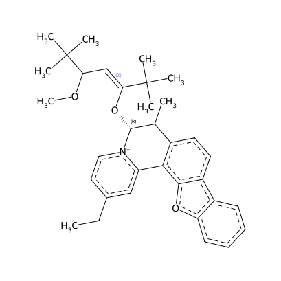 CCc1cc[n+]2c(c1)-c1c(ccc3c1oc1ccccc13)C(C)[C@H]2O/C(=C\C(OC)C(C)(C)C)C(C)(C)C